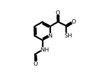 O=CNc1cccc(C(=O)C(=O)S)n1